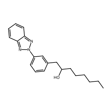 CCCCCCC(O)Cc1cccc(-n2nc3ccccc3n2)c1